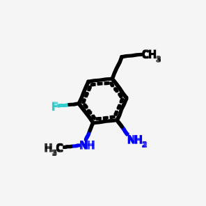 CCc1cc(N)c(NC)c(F)c1